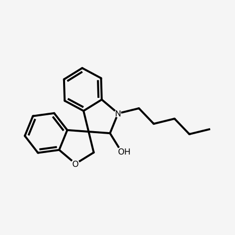 CCCCCN1c2ccccc2C2(COc3ccccc32)C1O